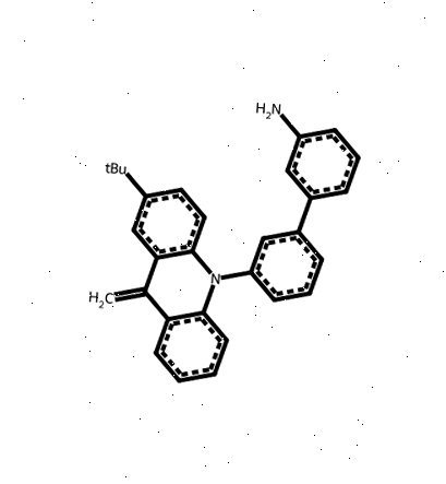 C=C1c2ccccc2N(c2cccc(-c3cccc(N)c3)c2)c2ccc(C(C)(C)C)cc21